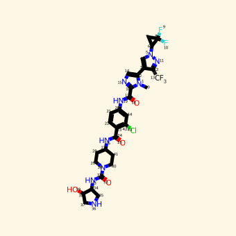 Cn1c(-c2cn(C3CC3(F)F)nc2C(F)(F)F)cnc1C(=O)Nc1ccc(C(=O)NC2CCN(C(=O)NC3CNCC3O)CC2)c(Cl)c1